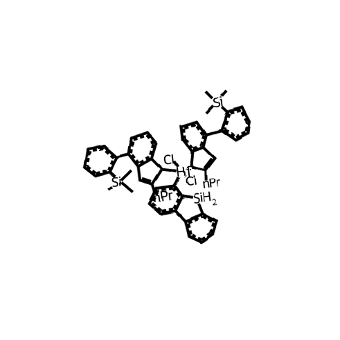 CCCC1=Cc2c(-c3ccccc3[Si](C)(C)C)cccc2[CH]1[Hf]([Cl])([Cl])([c]1cccc2c1[SiH2]c1ccccc1-2)[CH]1C(CCC)=Cc2c(-c3ccccc3[Si](C)(C)C)cccc21